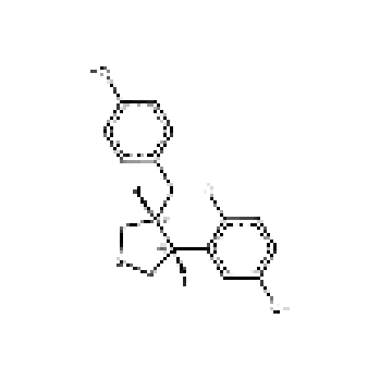 Oc1ccc(C2Oc3ccc(O)cc3[C@@H]3CSC[C@H]23)cc1